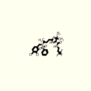 C=C(CCC1=NC(C)(C)[C@H](C(=O)NCCC(F)(F)F)N1)N(Cc1ccc(Cl)c(Cl)c1)S(=O)(=O)c1ccccc1